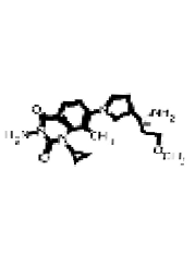 COCC[C@@H](N)C1CCN(c2ccc3c(=O)n(N)c(=O)n(C4CC4)c3c2C)C1